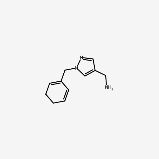 NCc1cnn(CC2=CCCC=C2)c1